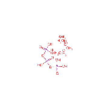 O.O.O.O.O.O.O=P(O)(O)OP(=O)(O)OP(=O)(O)O